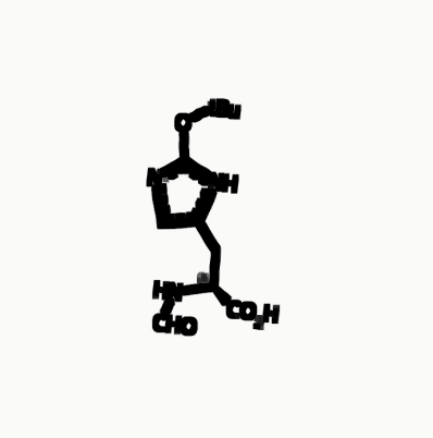 CC(C)(C)Oc1ncc(C[C@H](NC=O)C(=O)O)[nH]1